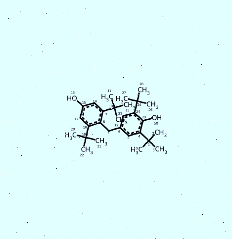 CC(C)(C)c1cc(Cc2c(C(C)(C)C)cc(O)cc2C(C)(C)C)cc(C(C)(C)C)c1O